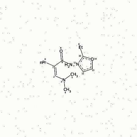 CCCC(=CN(C)C)C(N)=O.CCc1ncco1